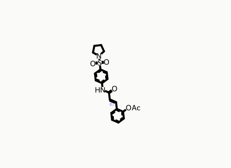 CC(=O)Oc1ccccc1/C=C/C(=O)Nc1ccc(S(=O)(=O)N2CCCC2)cc1